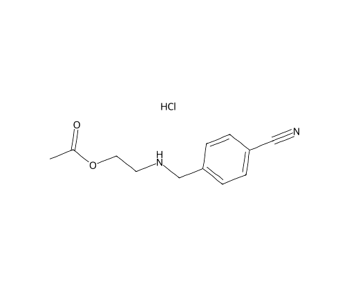 CC(=O)OCCNCc1ccc(C#N)cc1.Cl